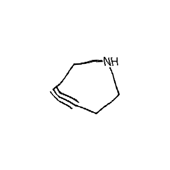 C1#CCNCC1